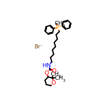 CC1(C)OCCCC1OC(=O)NCCCCCCCCC[P+](C)(c1ccccc1)c1ccccc1.[Br-]